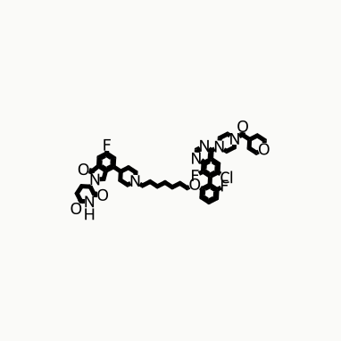 O=C1CCC(N2Cc3c(cc(F)cc3C3CCN(CCCCCCCOc4cccc(F)c4-c4c(Cl)cc5c(N6CCN(C(=O)C7CCOCC7)CC6)ncnc5c4F)CC3)C2=O)C(=O)N1